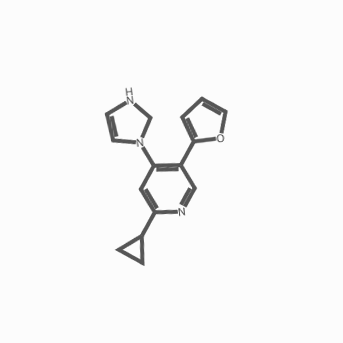 C1=CN(c2cc(C3CC3)ncc2-c2ccco2)CN1